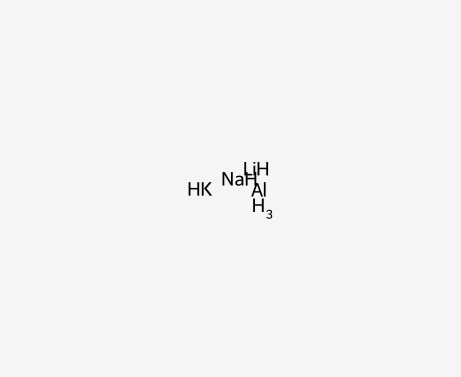 [AlH3].[KH].[LiH].[NaH]